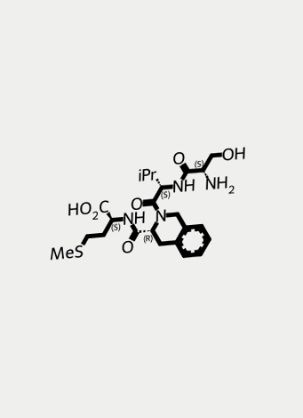 CSCC[C@H](NC(=O)[C@H]1Cc2ccccc2CN1C(=O)[C@@H](NC(=O)[C@@H](N)CO)C(C)C)C(=O)O